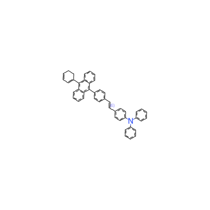 C1=CCCC(c2c3ccccc3c(-c3ccc(/C=C/c4ccc(N(c5ccccc5)c5ccccc5)cc4)cc3)c3ccccc23)=C1